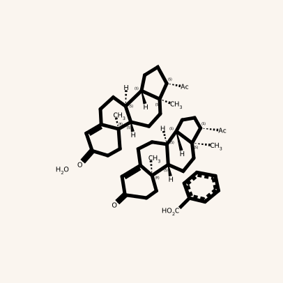 CC(=O)[C@H]1CC[C@H]2[C@@H]3CCC4=CC(=O)CC[C@]4(C)[C@H]3CC[C@]12C.CC(=O)[C@H]1CC[C@H]2[C@@H]3CCC4=CC(=O)CC[C@]4(C)[C@H]3CC[C@]12C.O.O=C(O)c1ccccc1